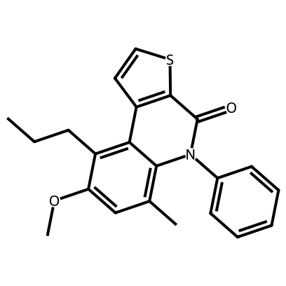 CCCc1c(OC)cc(C)c2c1c1ccsc1c(=O)n2-c1ccccc1